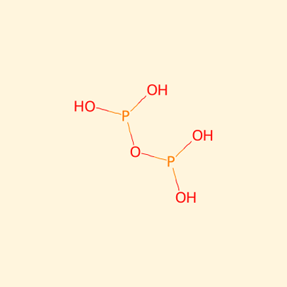 OP(O)OP(O)O